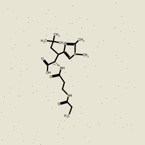 CCC(=O)NCCC(=O)N[C@H](C(=O)O)C(CC(C)(C)C)c1cn(C)c(C)n1